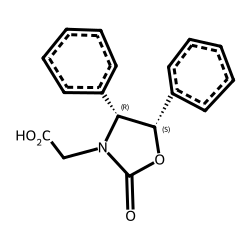 O=C(O)CN1C(=O)O[C@@H](c2ccccc2)[C@H]1c1ccccc1